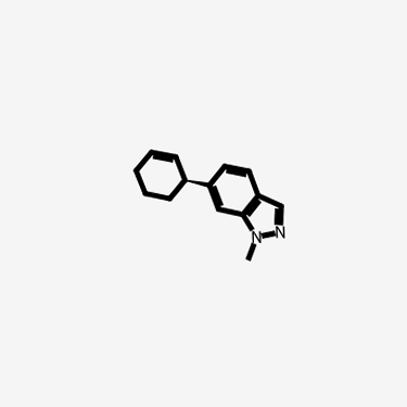 Cn1ncc2ccc([C@@H]3C=CCCC3)cc21